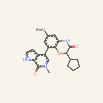 COc1cc2c(c(-c3cn(C)c(=O)c4[nH]ccc34)c1)OC(C1CCCC1)C(=O)N2